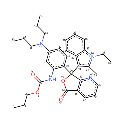 CCCOC(=O)Nc1cc(N(CCC)CCC)ccc1C1(c2c(C)n(CC)c3ccccc23)OC(=O)c2cccnc21